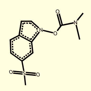 CN(C)C(=O)On1ccc2ccc(S(C)(=O)=O)cc21